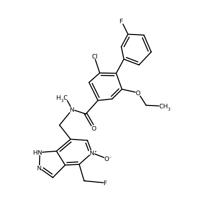 CCOc1cc(C(=O)N(C)Cc2c[n+]([O-])c(CF)c3cn[nH]c23)cc(Cl)c1-c1cccc(F)c1